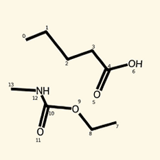 CCCCC(=O)O.CCOC(=O)NC